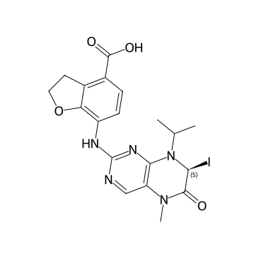 CC(C)N1c2nc(Nc3ccc(C(=O)O)c4c3OCC4)ncc2N(C)C(=O)[C@@H]1I